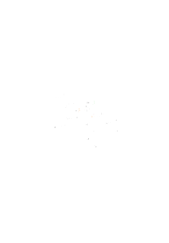 CCCCP(CCCC)B(Cl)P(CCCC)CCCC